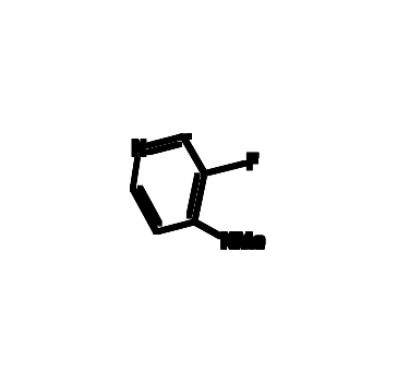 CNc1ccn[c]c1F